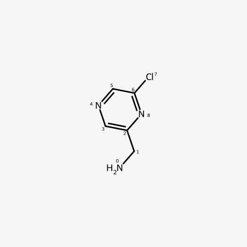 NCc1cncc(Cl)n1